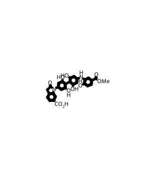 COC(=O)c1ccc(O)c(Nc2cc(O)c(-c3c(O)cc(N4C(=O)Cc5ccc(C(=O)O)cc54)cc3O)c(O)c2)c1